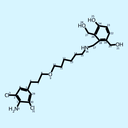 Nc1c(Cl)cc(CCCOCCCCCCNCc2c(CO)ccc(O)c2CO)cc1Cl